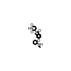 CCN[C@@H]1CCCC[C@@H]1Oc1ccc2c(c1)CN(C1CCC(=O)NC1=O)C2=O